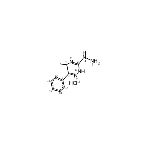 CC1N=C(NN)NN=C1c1ccccc1.Cl